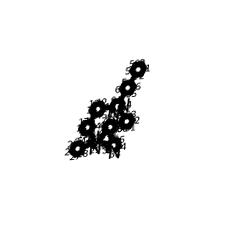 c1ccc(-c2ccc(-c3cc(-c4cccc(-c5cccc(-n6c(-c7ccccc7)nc7c8cnccc8c8ccccc8c76)c5)c4)nc(-c4ccccc4)n3)cc2)cc1